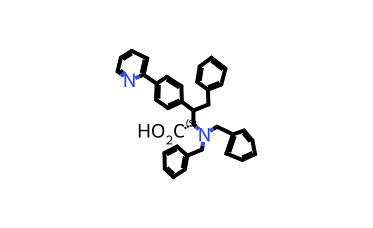 O=C(O)[C@H](C(Cc1ccccc1)c1ccc(-c2ccccn2)cc1)N(Cc1ccccc1)Cc1ccccc1